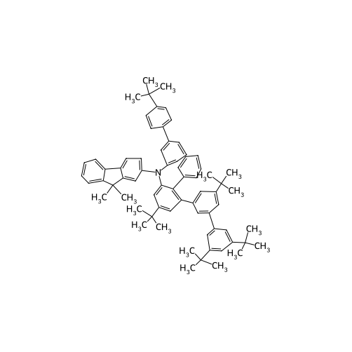 CC(C)(C)c1ccc(-c2cccc(N(c3ccc4c(c3)C(C)(C)c3ccccc3-4)c3cc(C(C)(C)C)cc(-c4cc(-c5cc(C(C)(C)C)cc(C(C)(C)C)c5)cc(C(C)(C)C)c4)c3-c3ccccc3)c2)cc1